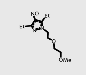 CCc1nn(CCOCCOC)c(CC)c1N=O